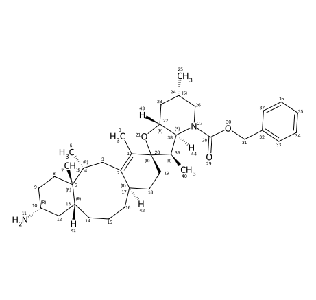 CC1=C2C[C@@H](C)[C@@]3(C)CC[C@@H](N)C[C@H]3CCC[C@@H]2CC[C@]12O[C@@H]1C[C@H](C)CN(C(=O)OCc3ccccc3)[C@H]1[C@H]2C